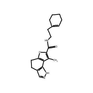 Cc1c(C(=O)NCCC2=CCCCC2)oc2c1-c1[nH]ncc1CC2